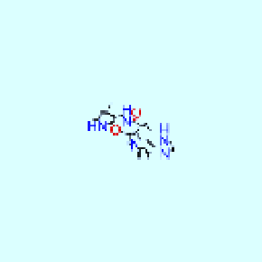 C/C=C(/C(=O)NCc1c(C)cc(C)[nH]c1=O)c1c(C)cn(C(C)C)c1/C=C/C1=NCCN1